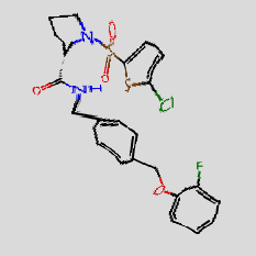 O=C(NCc1ccc(COc2ccccc2F)cc1)[C@@H]1CCCN1S(=O)(=O)c1ccc(Cl)s1